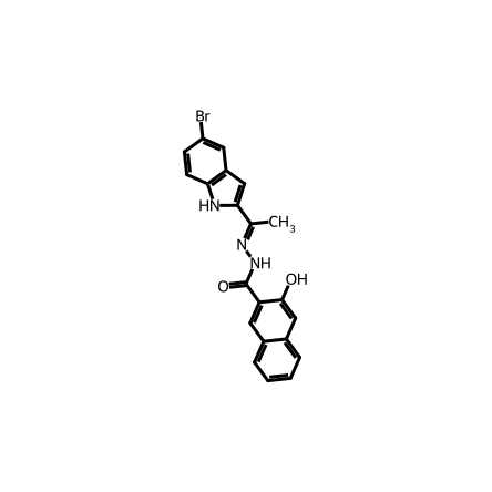 C/C(=N\NC(=O)c1cc2ccccc2cc1O)c1cc2cc(Br)ccc2[nH]1